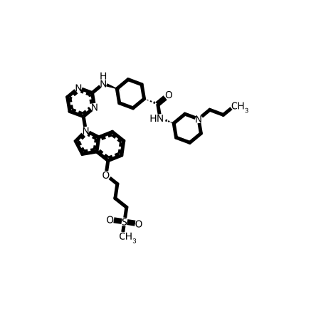 CCCN1CCC[C@H](NC(=O)[C@H]2CC[C@H](Nc3nccc(-n4ccc5c(OCCCS(C)(=O)=O)cccc54)n3)CC2)C1